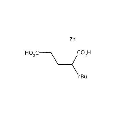 CCCCC(CCC(=O)O)C(=O)O.[Zn]